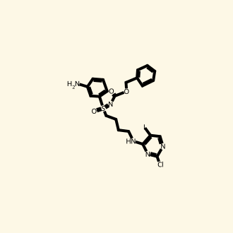 Nc1cccc(S(=O)(CCCCNc2nc(Cl)ncc2I)=NC(=O)OCc2ccccc2)c1